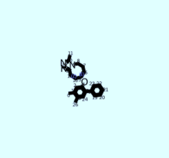 Cc1cc(OC2=C/CCn3c(C)nnc3/C=C\2)c(-c2ccccc2)cc1C